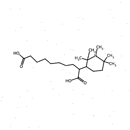 CN1C(C)(C)CCC(C(CCCCCCCC(=O)O)C(=O)O)C1(C)C